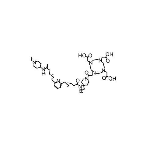 C=C(CCSCc1cccc(CSCCC(=O)NC2(C=O)CCN(C(=O)CN3CCN(CC(=O)O)CCN(CC(=O)O)CCN(CC(=O)O)CC3)CC2)n1)NC1CCN(CC)CC1